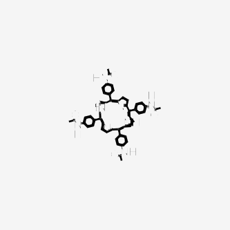 CC(=O)Nc1ccc(C2=C3C=CC(=N3)C(c3ccc(NC(C)=O)cc3)=c3ccc([nH]3)=C(c3ccc(NC(C)=O)cc3)C3=NC(=C(c4ccc(NC(C)=O)cc4)C4NC2=CS4)C=C3)cc1